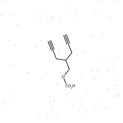 C#CCC(CC#C)COC(=O)O